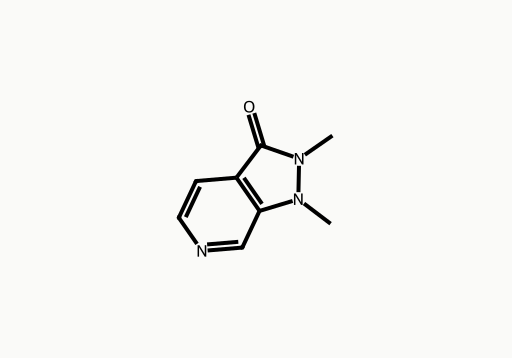 Cn1c(=O)c2ccncc2n1C